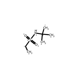 CCS(=O)(=O)NC(C)(C)C